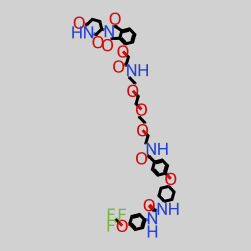 O=C(COc1cccc2c1C(=O)N(C1CCC(=O)NC1=O)C2=O)NCCOCCOCCOCCNC(=O)c1ccc(OC2CCC(NC(=O)Nc3ccc(OC(F)(F)F)cc3)CC2)cc1